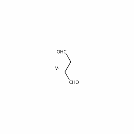 O=CCCC=O.[V]